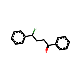 O=C(CCC(Cl)c1ccccc1)c1ccccc1